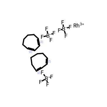 C1=C\CCCC\C=C/1.C1=C\CCCC\C=C/1.F[B-](F)(F)F.F[B-](F)(F)F.F[B-](F)(F)F.[Rh+3]